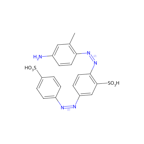 Cc1cc(N)ccc1/N=N\c1ccc(/N=N\c2ccc(S(=O)(=O)O)cc2)cc1S(=O)(=O)O